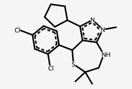 Cn1nc(C2CCCC2)c2c1NCC(C)(C)SC2c1ccc(Cl)cc1Cl